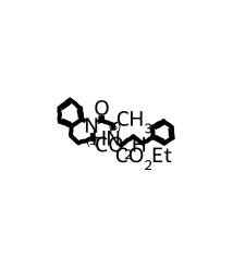 CCOC(=O)C(CCc1ccccc1)N[C@@H](C)C(=O)N1c2ccccc2CC[C@H]1C(=O)O